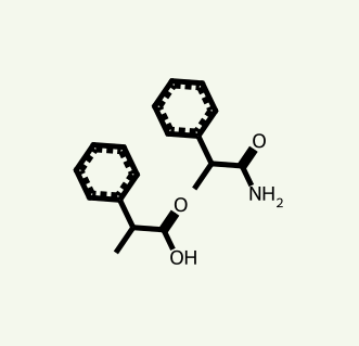 CC(C(=O)O)c1ccccc1.CC(C(N)=O)c1ccccc1